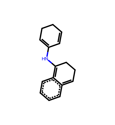 C1=CC(NC2=c3ccccc3=CCC2)=CCC1